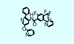 O=C(Nc1cc(Oc2ccccn2)cnc1-c1ccccc1)c1cc(-c2ncccn2)c(C(F)(F)F)cc1F